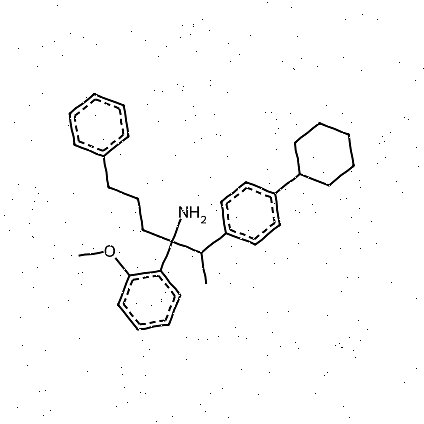 COc1ccccc1C(N)(CCCc1ccccc1)C(C)c1ccc(C2CCCCC2)cc1